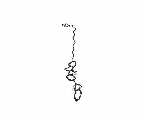 CCCCCCCCCCCCCCCCCCCCc1ccc2c(c1)sc1c3ccc(-c4nc5ccccc5s4)cc3sc21